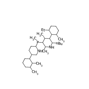 CCCCC1NC(C)C(P(C)C2CCC(C3CCCC(C)C3C)CN2)C(C)C1C1C(C)CCCC1CC